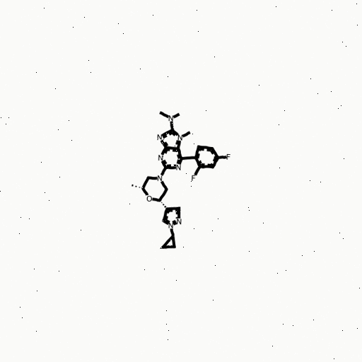 C[C@@H]1CN(c2nc(-c3ccc(F)cc3F)c3c(n2)nc(N(C)C)n3C)C[C@H](c2cnn(C3CC3)c2)O1